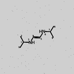 CC(C)N/C=C/NC(C)C